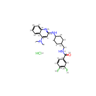 CN(C)c1cc(NC2CCC(CNC(=O)c3ccc(F)c(F)c3)CC2)nc2ccccc12.Cl